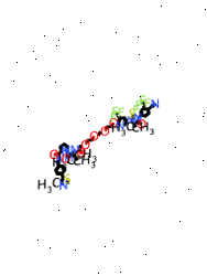 Cc1ncsc1-c1ccc(CNC(=O)C2CCCN2C(=O)C(NC(=O)COCCOCCOCCOc2ncc(N3C(=S)N(c4ccc(C#N)c(C(F)(F)F)c4F)C(=O)C3(C)C)cc2C(F)(F)F)C(C)(C)C)cc1